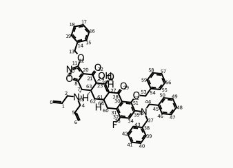 C=CCN(CC=C)[C@@H]1c2onc(OCc3ccccc3)c2C(=O)[C@@]2(O)C(O)=C3C(=O)c4c(c(F)cc(N(Cc5ccccc5)Cc5ccccc5)c4OCc4ccccc4)C[C@H]3C[C@@H]12